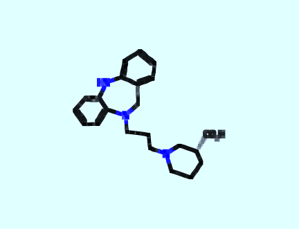 O=C(O)[C@@H]1CCCN(CCCN2Cc3ccccc3Nc3ccccc32)C1